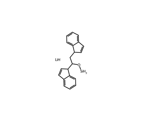 [LiH].[SiH3]OC(CC1C=Cc2ccccc21)C1C=Cc2ccccc21